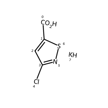 O=C(O)c1cc(Cl)ns1.[KH]